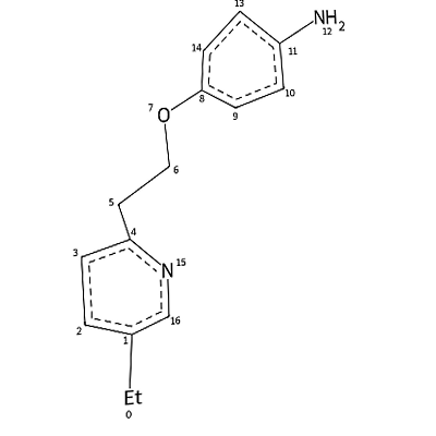 CCc1ccc(CCOc2ccc(N)cc2)nc1